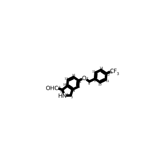 O=CC1NCc2cc(OCc3ccc(C(F)(F)F)cc3)ccc21